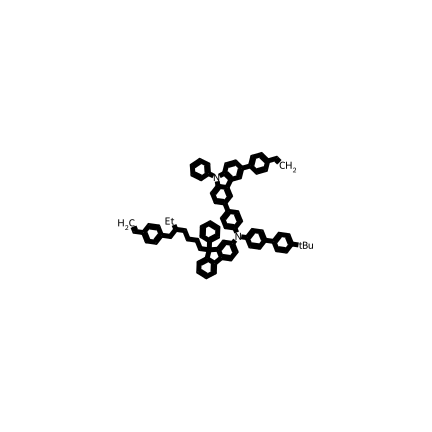 C=Cc1ccc(CC(CC)CCCCC2(c3ccccc3)c3ccccc3-c3ccc(N(c4ccc(-c5ccc(C(C)(C)C)cc5)cc4)c4ccc(-c5ccc6c(c5)c5cc(-c7ccc(C=C)cc7)ccc5n6-c5ccccc5)cc4)cc32)cc1